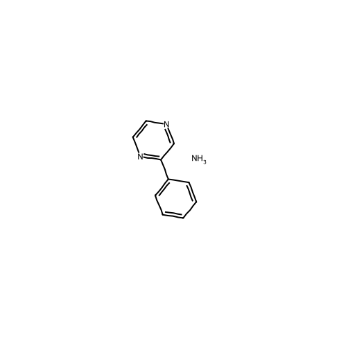 N.c1ccc(-c2cnccn2)cc1